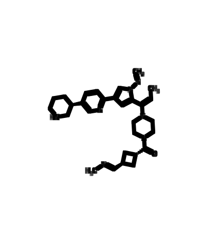 C=Nn1cc(-c2ccc([C@@H]3CCCNC3)cn2)cc1/C(=C\C)N1CCN(C(=O)[C@H]2C[C@H](C=NC)C2)CC1